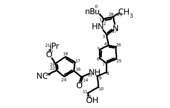 CCCCc1[nH]c(-c2ccc(CC(CCO)NC(=O)c3ccc(OC(C)C)c(C#N)c3)cc2)nc1C